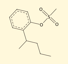 CCCC(C)c1ccccc1OS(C)(=O)=O